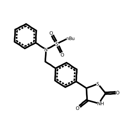 CCCCS(=O)(=O)N(Cc1ccc(C2SC(=O)NC2=O)cc1)c1ccccc1